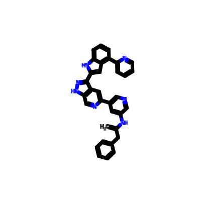 C=C(Cc1ccccc1)Nc1cncc(-c2cc3c(-c4cc5c(-c6ccccn6)cccc5[nH]4)n[nH]c3cn2)c1